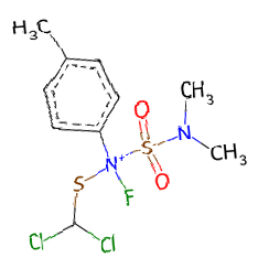 Cc1ccc([N+](F)(SC(Cl)Cl)S(=O)(=O)N(C)C)cc1